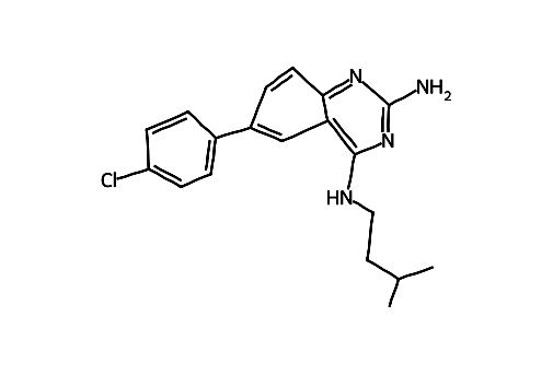 CC(C)CCNc1nc(N)nc2ccc(-c3ccc(Cl)cc3)cc12